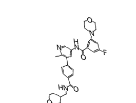 Cc1ncc(NC(=O)c2cc(F)cc(N3CCOCC3)c2)cc1-c1ccc(C(=O)NCC2CCOCC2)cc1